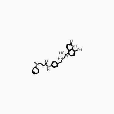 CN(CCC(=O)Nc1ccc(CNC[C@H](O)c2ccc(O)c3[nH]c(=O)ccc23)cc1)C1CC#CCC1